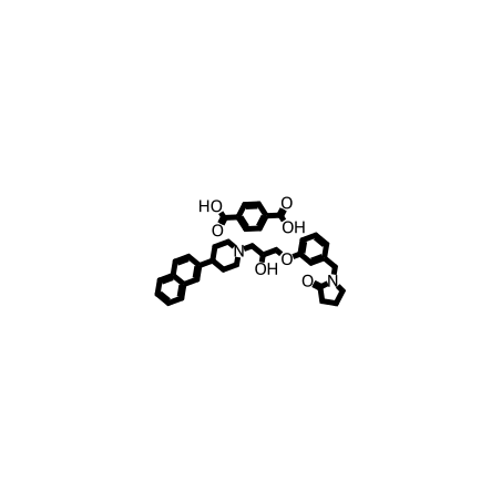 O=C(O)c1ccc(C(=O)O)cc1.O=C1CCCN1Cc1cccc(OCC(O)CN2CCC(c3ccc4ccccc4c3)CC2)c1